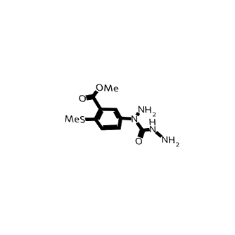 COC(=O)c1cc(N(N)C(=O)NN)ccc1SC